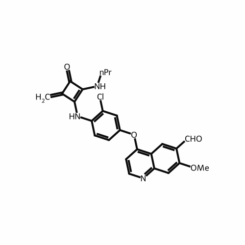 C=C1C(=O)C(NCCC)=C1Nc1ccc(Oc2ccnc3cc(OC)c(C=O)cc23)cc1Cl